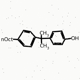 CCCCCCCCc1ccc(C(C)(C)c2ccc(O)cc2)cc1